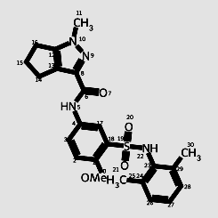 COc1ccc(NC(=O)c2nn(C)c3c2CCC3)cc1S(=O)(=O)Nc1c(C)cccc1C